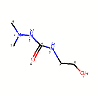 CN(C)NC(=O)NCCO